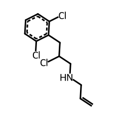 C=CCNCC(Cl)Cc1c(Cl)cccc1Cl